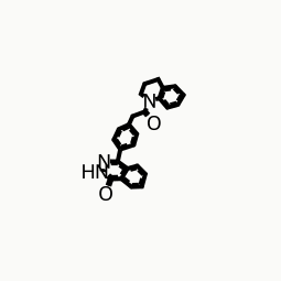 O=C(Cc1ccc(-c2n[nH]c(=O)c3ccccc23)cc1)N1CCCc2ccccc21